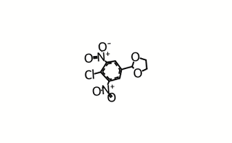 O=[N+]([O-])c1cc(C2OCCO2)cc([N+](=O)[O-])c1Cl